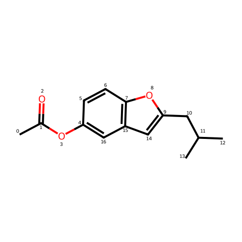 CC(=O)Oc1ccc2oc(CC(C)C)cc2c1